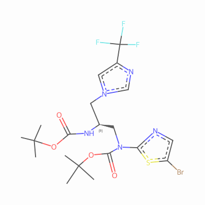 CC(C)(C)OC(=O)N[C@H](CN(C(=O)OC(C)(C)C)c1ncc(Br)s1)Cn1cnc(C(F)(F)F)c1